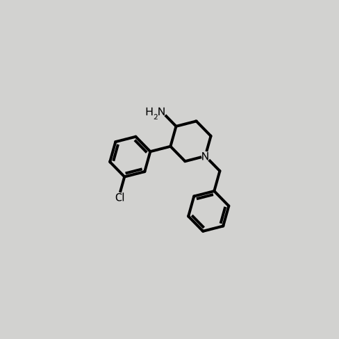 NC1CCN(Cc2ccccc2)CC1c1cccc(Cl)c1